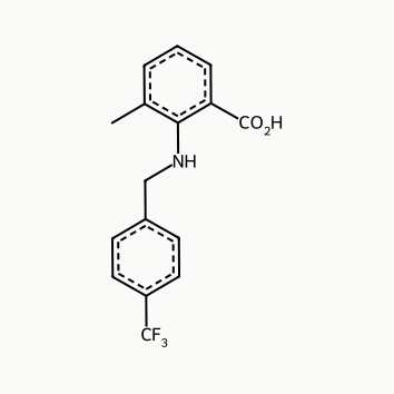 Cc1cccc(C(=O)O)c1NCc1ccc(C(F)(F)F)cc1